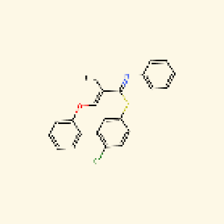 CC(=C\Oc1ccccc1)/C(=N/c1ccccc1)Sc1ccc(Cl)cc1